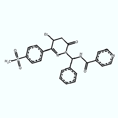 CCC1CC(=O)N(C(NC(=O)c2ccncc2)c2ccccc2)N=C1c1ccc(S(C)(=O)=O)cc1